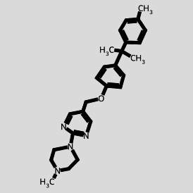 Cc1ccc(C(C)(C)c2ccc(OCc3cnc(N4CCN(C)CC4)nc3)cc2)cc1